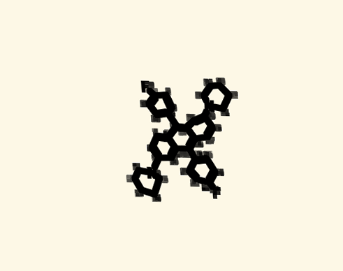 Fc1ccc(-c2c3ccc(N4CCCCC4)cc3c(-c3ccc(F)cc3)c3ccc(N4CCCCC4)cc23)cc1